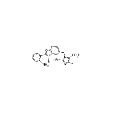 CCCc1nc(C)c(C(=O)O)n1Cc1ccc2oc(-c3ccccc3N)c(Br)c2c1